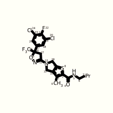 Cc1c(C(=O)NCC(C)C)sc2c1CN(C1=NOC(c3cc(Cl)c(F)c(Cl)c3)(C(F)(F)F)C1)C2